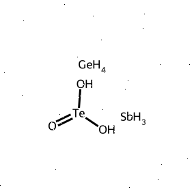 O=[Te](O)O.[GeH4].[SbH3]